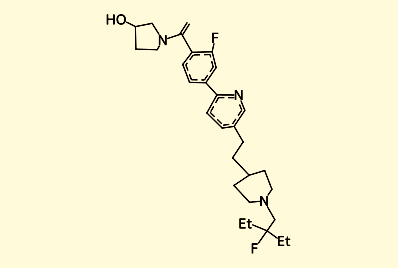 C=C(c1ccc(-c2ccc(CCC3CCN(CC(F)(CC)CC)CC3)cn2)cc1F)N1CCC(O)C1